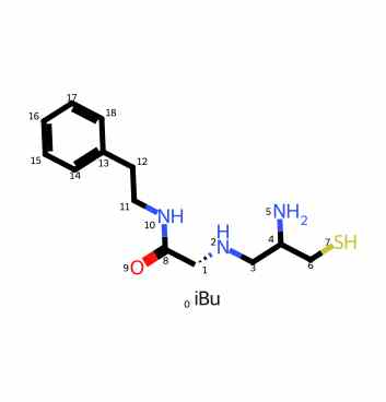 CC[C@H](C)[C@@H](NCC(N)CS)C(=O)NCCc1ccccc1